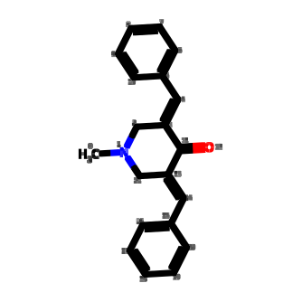 CN1C/C(=C\c2ccccc2)C(=O)/C(=C/c2ccccc2)C1